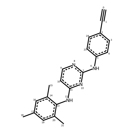 C#Cc1ccc(Nc2nccc(Nc3c(C)cc(C)cc3C)n2)cc1